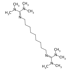 CN(C)C(=NCCCCCCCCCN=C(N(C)C)N(C)C)N(C)C